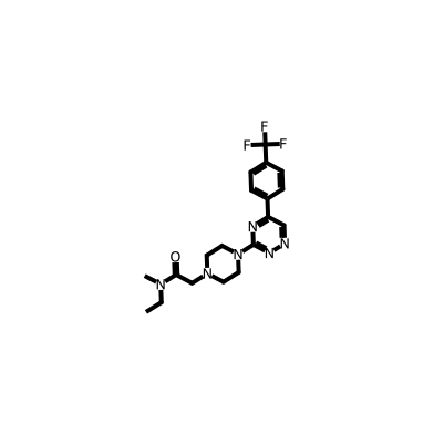 CCN(C)C(=O)CN1CCN(c2nncc(-c3ccc(C(F)(F)F)cc3)n2)CC1